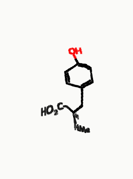 CN[C@H](Cc1ccc(O)cc1)C(=O)O